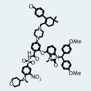 COc1ccc(C(c2ccc(OC)cc2)n2c(=O)n(C)c3c(Oc4cc(N5CCN(CC6=C(c7ccc(Cl)cc7)CC(C)(C)CC6)CC5)ccc4C(=O)NS(=O)(=O)c4ccc(N(C)C5CCOCC5)c([N+](=O)[O-])c4)cccc32)cc1